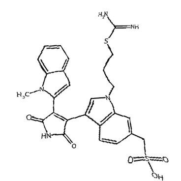 Cn1c(C2=C(c3cn(CCCSC(=N)N)c4cc(CS(=O)(=O)O)ccc34)C(=O)NC2=O)cc2ccccc21